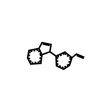 C=Cc1cccc(C2C=Cc3ccccc32)c1